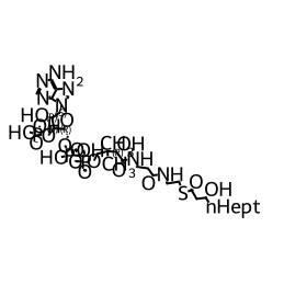 CCCCCCCC(O)CC(=O)SCCNC(=O)CCNC(=O)[C@H](O)C(C)(C)COP(=O)(O)OP(=O)(O)OC[C@H]1O[C@H](n2cnc3c(N)ncnc32)[C@H](O)[C@@H]1OP(=O)(O)O